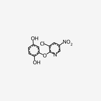 O=[N+]([O-])c1cnc(Oc2cc(O)ccc2O)c(Cl)c1